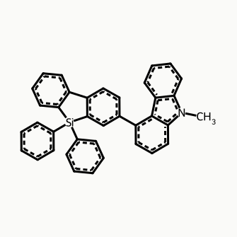 Cn1c2ccccc2c2c(-c3ccc4c(c3)[Si](c3ccccc3)(c3ccccc3)c3ccccc3-4)cccc21